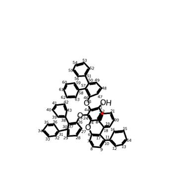 Oc1ccc(Oc2cccc(-c3ccccc3)c2-c2ccccc2)c(Oc2cccc(-c3ccccc3)c2-c2ccccc2)c1Oc1cccc(-c2ccccc2)c1-c1ccccc1